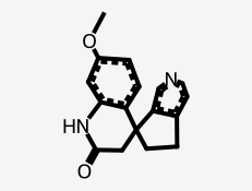 COc1ccc2c(c1)NC(=O)CC21CCc2ccncc21